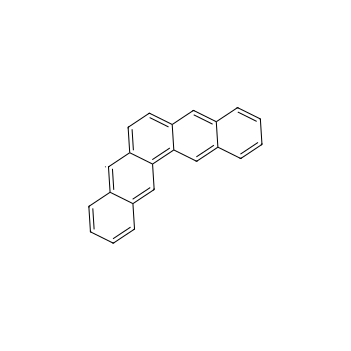 [c]1c2ccccc2cc2c1ccc1cc3ccccc3cc12